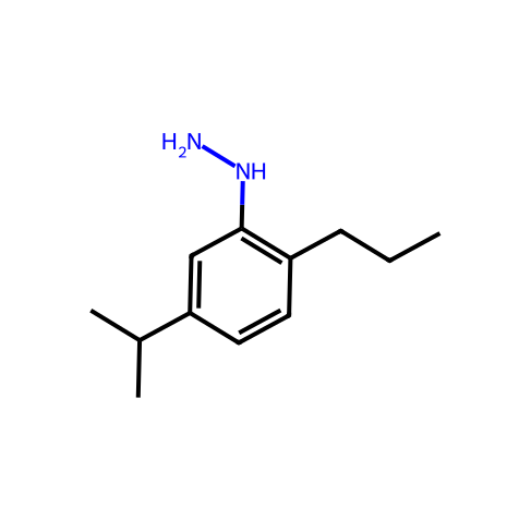 CCCc1ccc(C(C)C)cc1NN